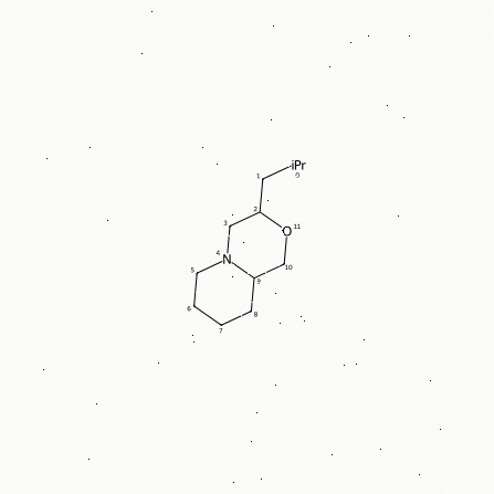 CC(C)CC1CN2CCCCC2CO1